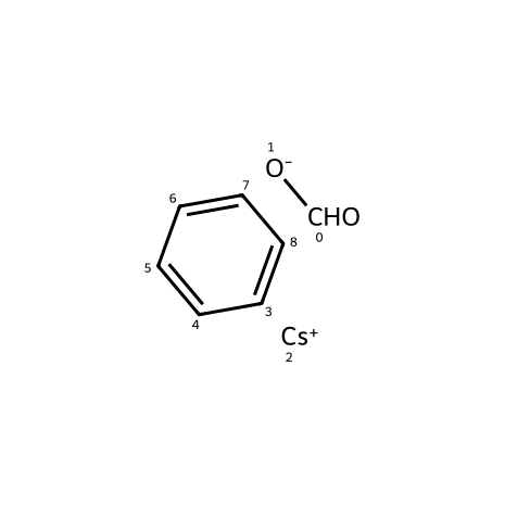 O=C[O-].[Cs+].c1ccccc1